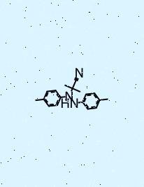 Cc1ccc(NN(c2ccc(C)cc2)C(C)(C)C#N)cc1